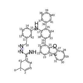 CC1C=CC=C(C(=N)/N=N\Cc2cccc(Nc3cc(-c4cccc5c4oc4ccccc45)ccc3-c3ccccc3)c2)C1